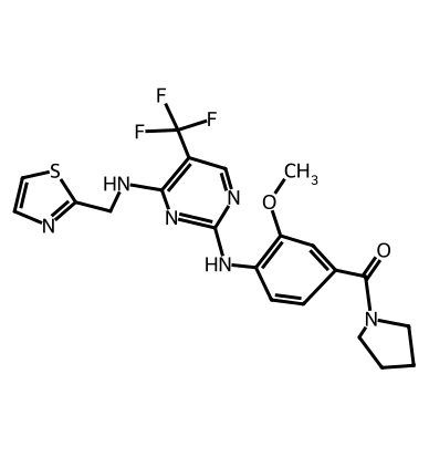 COc1cc(C(=O)N2CCCC2)ccc1Nc1ncc(C(F)(F)F)c(NCc2nccs2)n1